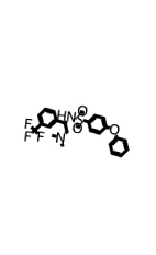 CN(C)CC(NS(=O)(=O)c1ccc(Oc2ccccc2)cc1)c1cccc(C(F)(F)F)c1